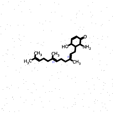 CC(C)=CCC/C(C)=C/CC/C(C)=C/CC1C(O)C=CC(=O)C1N